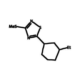 CCC1CCCC(c2nc(SC)ns2)C1